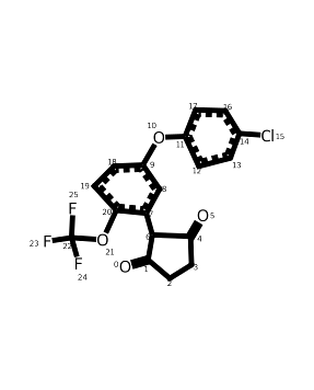 O=C1CCC(=O)C1c1cc(Oc2ccc(Cl)cc2)ccc1OC(F)(F)F